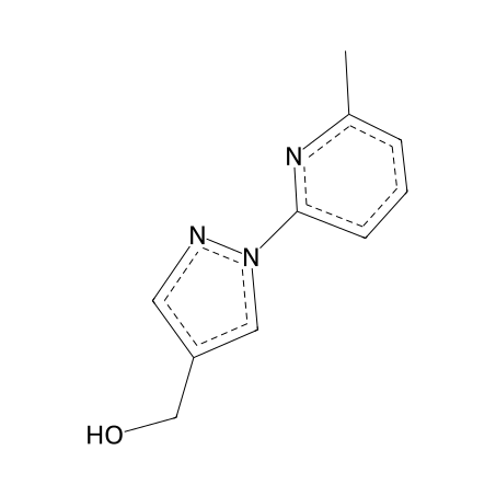 Cc1cccc(-n2cc(CO)cn2)n1